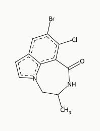 CC1Cn2ccc3cc(Br)c(Cl)c(c32)C(=O)N1